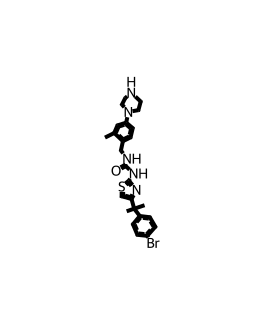 Cc1cc(N2CCNCC2)ccc1CNC(=O)Nc1nc(C(C)(C)c2ccc(Br)cc2)cs1